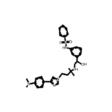 CN(C)c1ccc(-c2cn(CCC(C)(C)NCC(O)c3cccc(NS(=O)(=O)c4ccccc4)c3)cn2)cc1